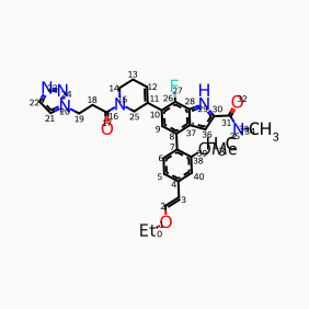 CCO/C=C/c1ccc(-c2cc(C3=CCCN(C(=O)CCn4ccnn4)C3)c(F)c3[nH]c(C(=O)N(C)C)cc23)c(OC)c1